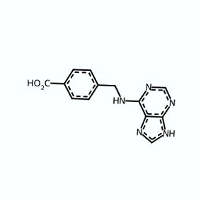 O=C(O)c1ccc(CNc2ncnc3[nH]cnc23)cc1